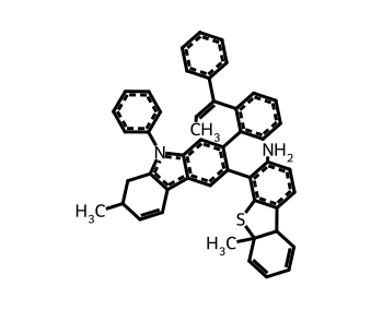 C/C=C(/c1ccccc1)c1ccccc1-c1cc2c(cc1-c1c(N)ccc3c1SC1(C)C=CC=CC31)c1c(n2-c2ccccc2)CC(C)C=C1